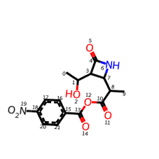 CC(O)C1C(=O)NC1C(C)C(=O)OC(=O)c1ccc([N+](=O)[O-])cc1